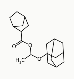 CC(OC(=O)C1CC2CCC1C2)OC12CC3CC(CC(C3)C1)C2